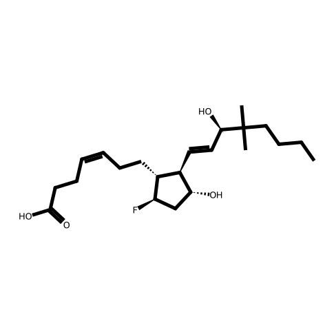 CCCCC(C)(C)[C@H](O)/C=C/[C@@H]1[C@@H](CC/C=C\CCC(=O)O)[C@H](F)C[C@H]1O